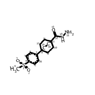 CS(=O)(=O)c1ccc(C23CCC(C(=O)NN)(CC2)CC3)cc1